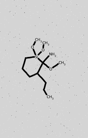 CCCC1CCC[Si](OC)(OC)C1(N)OC